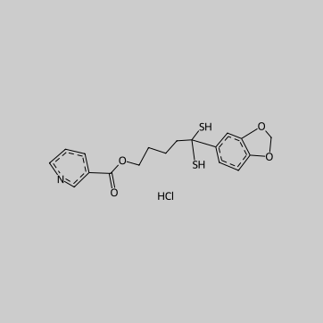 Cl.O=C(OCCCCC(S)(S)c1ccc2c(c1)OCO2)c1cccnc1